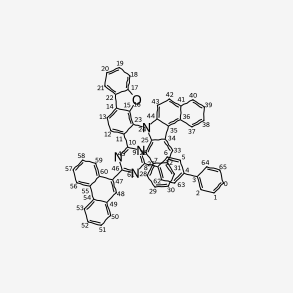 c1ccc(-c2ccc(-c3nc(-c4ccc5c(oc6ccccc65)c4-n4c5cc6ccccc6cc5c5c6ccccc6ccc54)nc(-c4cc5ccccc5c5ccccc45)n3)cc2)cc1